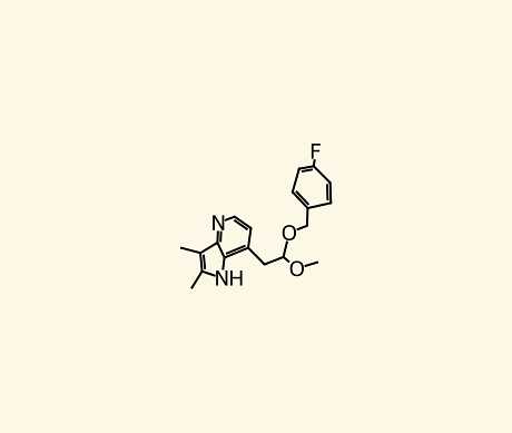 COC(Cc1ccnc2c(C)c(C)[nH]c12)OCc1ccc(F)cc1